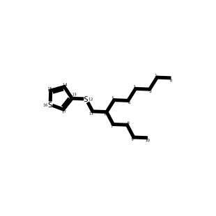 CCCCCCC(CCCC)CSc1c[c]sc1